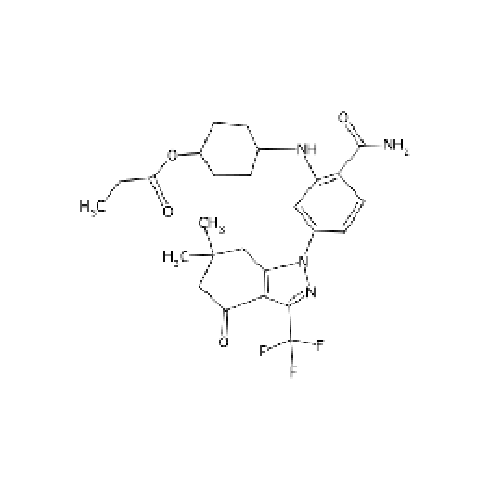 CCC(=O)OC1CCC(Nc2cc(-n3nc(C(F)(F)F)c4c3CC(C)(C)CC4=O)ccc2C(N)=O)CC1